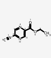 [C-]#[N+]c1cnc(C(=O)OCC)cn1